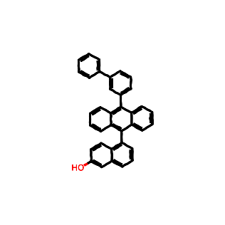 Oc1ccc2c(-c3c4ccccc4c(-c4cccc(-c5ccccc5)c4)c4ccccc34)cccc2c1